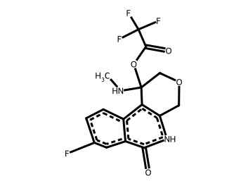 CNC1(OC(=O)C(F)(F)F)COCc2[nH]c(=O)c3cc(F)ccc3c21